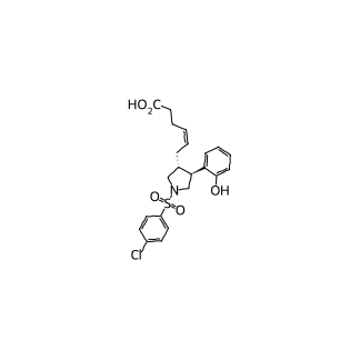 O=C(O)CC/C=C\C[C@H]1CN(S(=O)(=O)c2ccc(Cl)cc2)C[C@@H]1c1ccccc1O